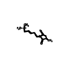 CC1CC(=O)N(CCCCC[C@@H](C)C(F)(F)F)C1=O